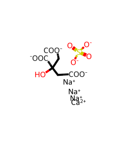 O=C([O-])CC(O)(CC(=O)[O-])C(=O)[O-].O=S(=O)([O-])[O-].[Ca+2].[Na+].[Na+].[Na+]